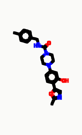 Cc1ccc(CNC(=O)N2CCN(c3ccc(-c4cnc(C)o4)c(O)c3)CC2)cc1